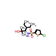 CCC(CC)[C@H](NS(=O)(=O)C1=CCC(Cl)S1)C(C)(C)O